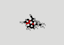 C[C@@H](Oc1cc(-c2c(C#N)nn(C)c2CN(C)C(=O)OC(C)(C)C)cnc1N)c1cc(F)ccc1C(=O)O